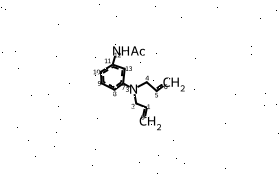 C=CCN(CC=C)c1cccc(NC(C)=O)c1